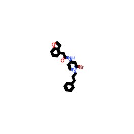 O=C(Cc1cccc2occc12)Nc1cc[n+](CCCc2ccccc2)c(Br)c1